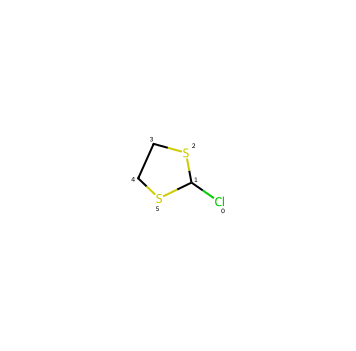 ClC1SCCS1